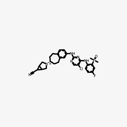 CP(C)(=O)c1cc(F)ccc1Nc1nc(Nc2ccc3c(c2)CC[C@H](N2CC4C(C#N)C4C2)CC3)ncc1Cl